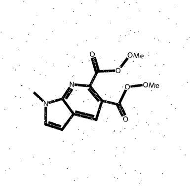 COOC(=O)c1cc2ccn(C)c2nc1C(=O)OOC